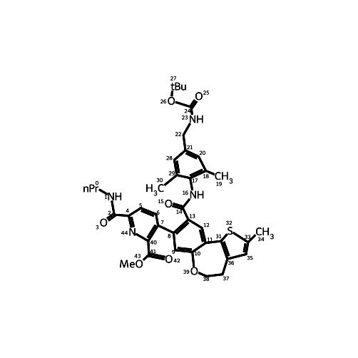 CCCNC(=O)c1ccc(-c2cc3c(cc2C(=O)Nc2c(C)cc(CNC(=O)OC(C)(C)C)cc2C)-c2sc(C)cc2CCO3)c(C(=O)OC)n1